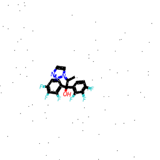 CC(n1ccnn1)C(O)(c1ccc(F)c(F)c1F)c1ccc(F)c(F)c1F